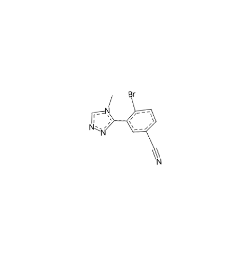 Cn1cnnc1-c1cc(C#N)ccc1Br